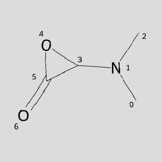 CN(C)C1OC1=O